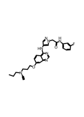 C#CN(CCC)CCCOc1ccc2c(Nc3cnn(CC(=O)Nc4cccc(F)c4)c3)ncnc2c1